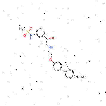 CC(=O)Nc1ccc2c(c1)Cc1cc(OCCNCC(O)c3cccc(NS(C)(=O)=O)c3)ccc1-2